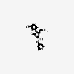 CCc1nc(NNc2ccncc2)nc(=O)n1-c1cccc(Cl)c1